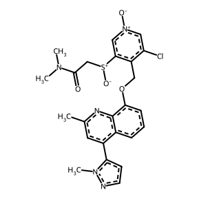 Cc1cc(-c2ccnn2C)c2cccc(OCc3c(Cl)c[n+]([O-])cc3[S+]([O-])CC(=O)N(C)C)c2n1